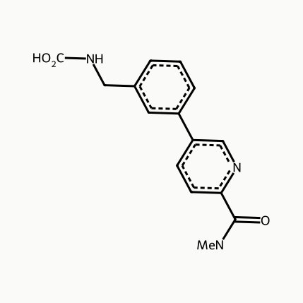 CNC(=O)c1ccc(-c2cccc(CNC(=O)O)c2)cn1